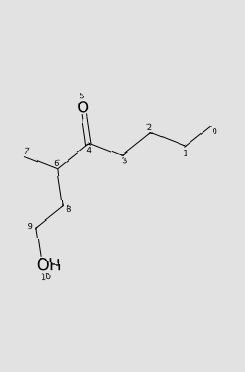 CCCCC(=O)C(C)CCO